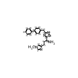 Cn1cnc(CC[C@H](N)c2nc(Cc3ccc(-c4ccccc4)cc3)no2)c1